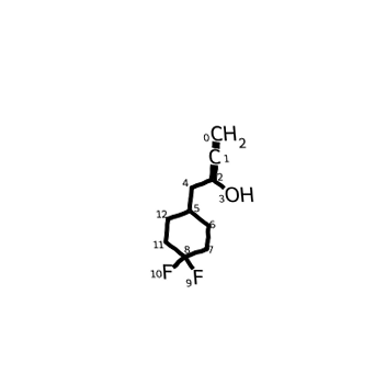 C=C=C(O)CC1CCC(F)(F)CC1